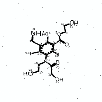 CC(=O)NCc1c(I)c(C(=O)OCCO)c(I)c(N(CCO)C(=O)CO)c1I